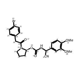 COc1ccc(C(C#N)NC(=O)O[C@H]2CCCN2C(=O)Cc2ccc(Br)cc2)cc1OC